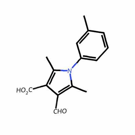 Cc1cccc(-n2c(C)c(C=O)c(C(=O)O)c2C)c1